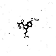 COc1ccc2c(CCN(C)C)cn(C(=O)C(C)N)c2c1